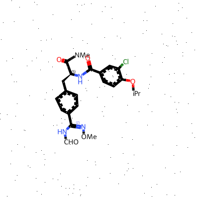 CNC(=O)[C@H](Cc1ccc(/C(=N/OC)NC=O)cc1)NC(=O)c1ccc(OC(C)C)c(Cl)c1